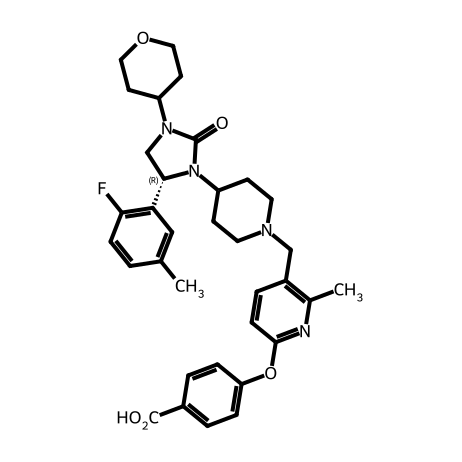 Cc1ccc(F)c([C@@H]2CN(C3CCOCC3)C(=O)N2C2CCN(Cc3ccc(Oc4ccc(C(=O)O)cc4)nc3C)CC2)c1